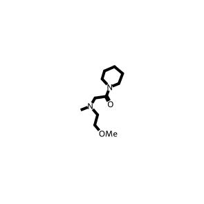 COCCN(C)CC(=O)N1CCCCC1